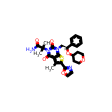 Cc1c(-c2ncco2)sc2c1c(=O)n(C(C)(C)C(N)=O)c(=O)n2C[C@H](OC1CCOCC1)c1ccccc1